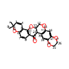 CC1(C)C=Cc2c(ccc3c2OC2COc4cc5c(cc4C2C3=O)OCCO5)O1